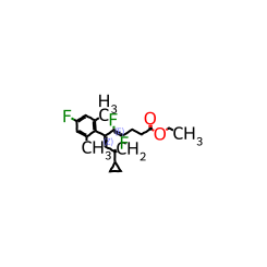 C=C(/C=C(\C(F)=C(/F)CCC(=O)OCC)c1c(C)cc(F)cc1C)C1CC1